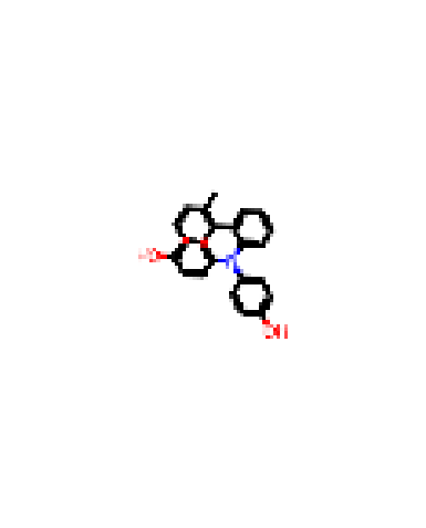 CC1=C(c2ccccc2N(c2ccc(O)cc2)c2ccc(O)cc2)CCC=C1